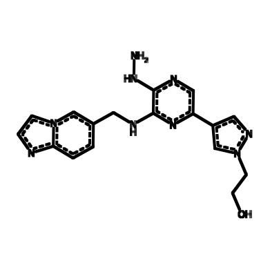 NNc1ncc(-c2cnn(CCO)c2)nc1NCc1ccc2nccn2c1